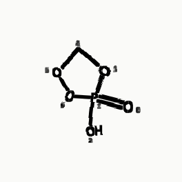 O=P1(O)OCOO1